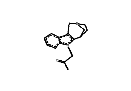 CC(=O)Cn1c2c(c3ccccc31)CN1CCC2C1